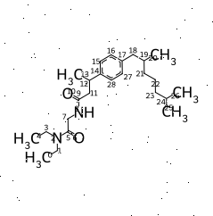 CCN(CC)C(=O)CNC(=O)CC(C)c1ccc(CC(C)CCCC(C)C)cc1